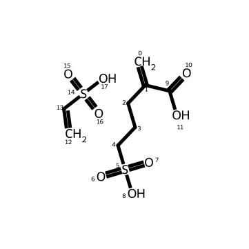 C=C(CCCS(=O)(=O)O)C(=O)O.C=CS(=O)(=O)O